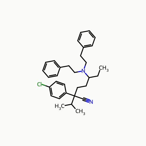 CCC(CCC(C#N)(c1ccc(Cl)cc1)C(C)C)N(CCc1ccccc1)CCc1ccccc1